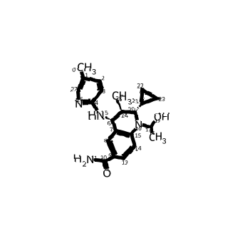 Cc1ccc(N[C@H]2c3cc(C(N)=O)ccc3N(C(C)O)[C@@H](C3CC3)[C@@H]2C)nc1